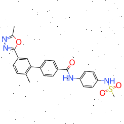 Cc1nnc(-c2ccc(C)c(-c3ccc(C(=O)Nc4ccc(NS(C)(=O)=O)cc4)cc3)c2)o1